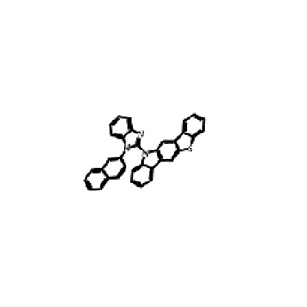 c1ccc2cc(-n3c(-n4c5ccccc5c5cc6sc7ccccc7c6cc54)nc4ccccc43)ccc2c1